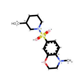 CN1CCOc2cc(S(=O)(=O)N3CCCC(C(=O)O)C3)ccc21